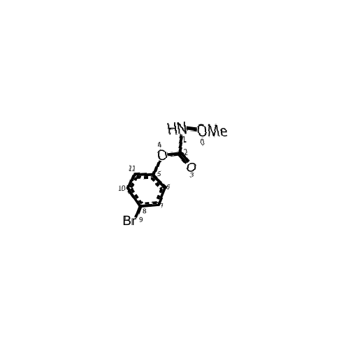 CONC(=O)Oc1ccc(Br)cc1